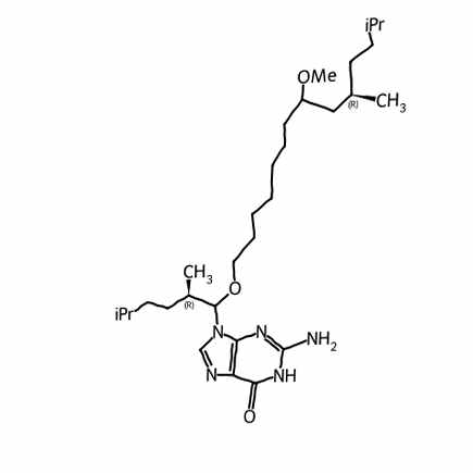 COC(CCCCCCCOC([C@H](C)CCC(C)C)n1cnc2c(=O)[nH]c(N)nc21)C[C@H](C)CCC(C)C